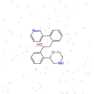 OC(Cc1ccccc1-c1cccnc1)c1ccccc1C1CNCCO1